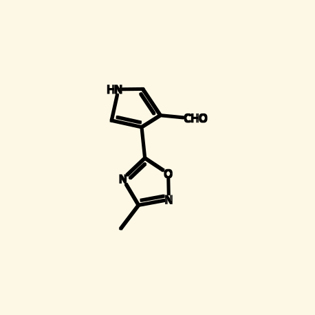 Cc1noc(-c2c[nH]cc2C=O)n1